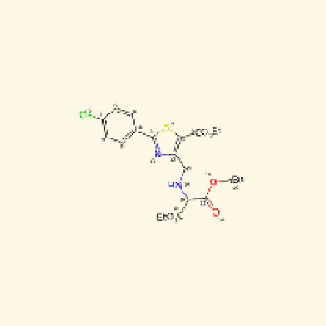 CCOC(=O)c1sc(-c2ccc(Cl)cc2)nc1CNC(C(=O)OCC)C(=O)OC(C)(C)C